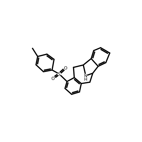 Cc1ccc(S(=O)(=O)c2cccc3c2CC2NC(C3)c3ccccc32)cc1